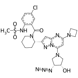 CS(=O)(=O)Nc1ccc(Cl)cc1C(=O)N1CCCC[C@H]1c1cc2nc(N3CCC3)cc(N3C[C@H](O)[C@H](N=[N+]=[N-])C3)n2n1